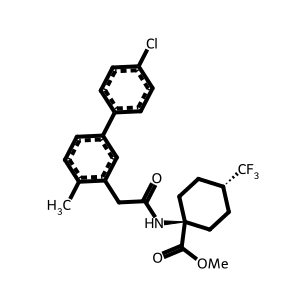 COC(=O)[C@]1(NC(=O)Cc2cc(-c3ccc(Cl)cc3)ccc2C)CC[C@H](C(F)(F)F)CC1